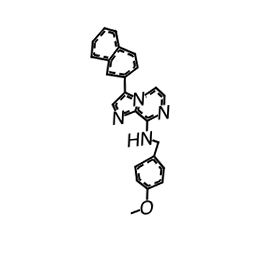 COc1ccc(CNc2nccn3c(-c4ccc5ccccc5c4)cnc23)cc1